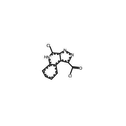 O=C(Cl)c1nnc2c(Cl)[nH]c3ccccc3c1-2